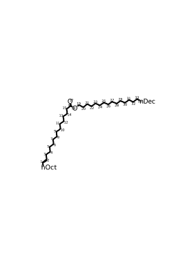 CCCCCCCCC=CCCCCCCCCCCCCCC(=O)OCCCCCCCCCCCCCCCCCCCCCCCCC